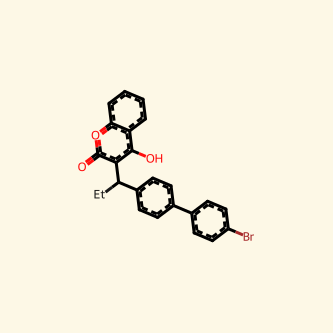 CCC(c1ccc(-c2ccc(Br)cc2)cc1)c1c(O)c2ccccc2oc1=O